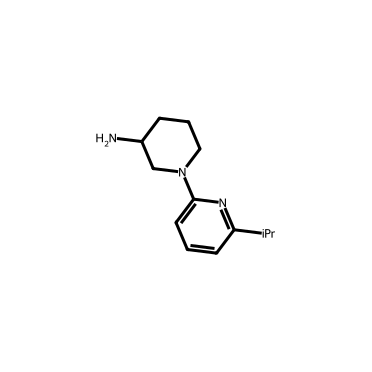 CC(C)c1cccc(N2CCCC(N)C2)n1